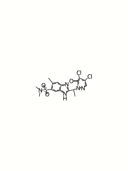 Cc1cc2nc(C(C)n3ncc(Cl)c(Cl)c3=O)[nH]c2cc1S(=O)(=O)N(C)C